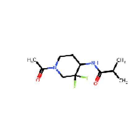 CC(=O)N1CCC(NC(=O)C(C)C)C(F)(F)C1